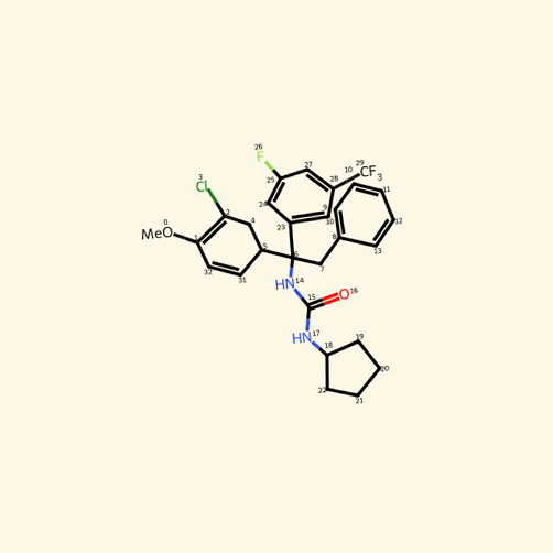 COC1=C(Cl)CC(C(Cc2ccccc2)(NC(=O)NC2CCCC2)c2cc(F)cc(C(F)(F)F)c2)C=C1